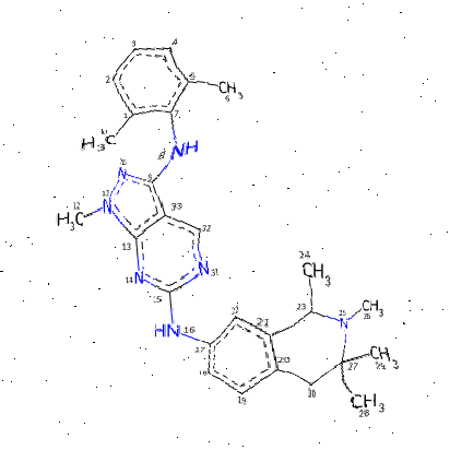 Cc1cccc(C)c1Nc1nn(C)c2nc(Nc3ccc4c(c3)C(C)N(C)C(C)(C)C4)ncc12